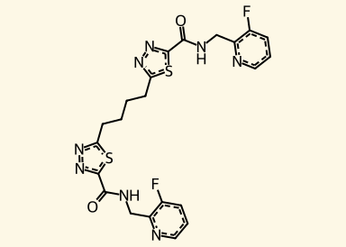 O=C(NCc1ncccc1F)c1nnc(CCCCc2nnc(C(=O)NCc3ncccc3F)s2)s1